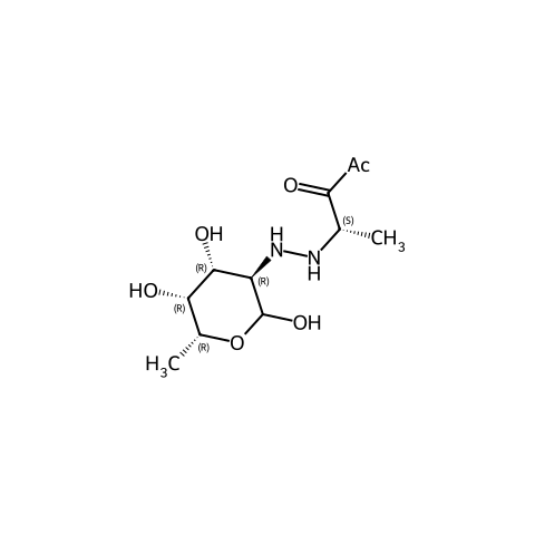 CC(=O)C(=O)[C@H](C)NN[C@H]1C(O)O[C@H](C)[C@H](O)[C@@H]1O